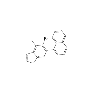 Cc1c(Br)c(-c2cccc3ccccc23)cc2c1C=CC2